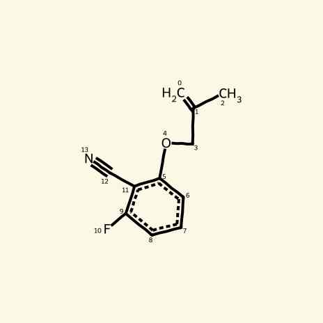 C=C(C)COc1cccc(F)c1C#N